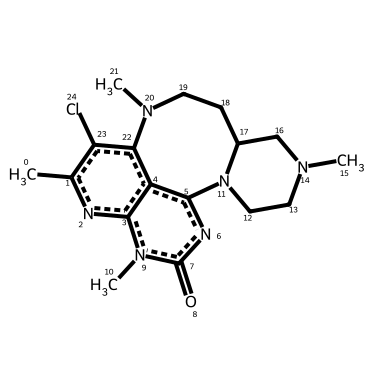 Cc1nc2c3c(nc(=O)n2C)N2CCN(C)CC2CCN(C)c3c1Cl